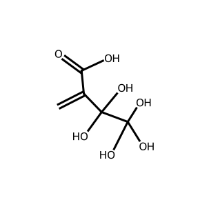 C=C(C(=O)O)C(O)(O)C(O)(O)O